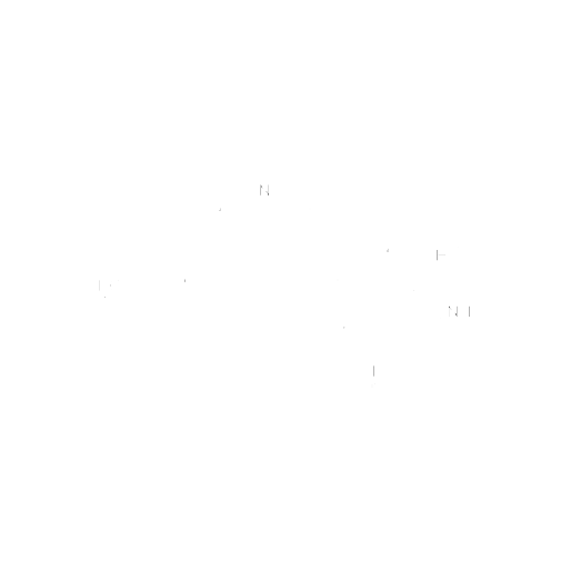 C=COc1cncc(C2=C[C@@H]3CN[C@@H]3C2)c1